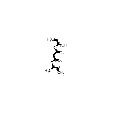 C=CC(C)OC(=O)CC(=O)OC(C)C=C